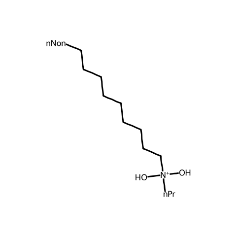 CCCCCCCCCCCCCCCCCC[N+](O)(O)CCC